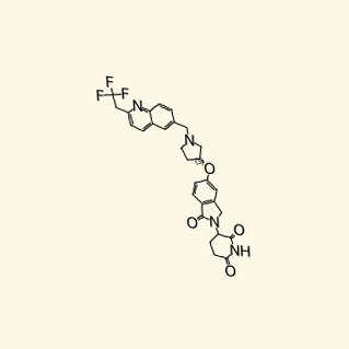 O=C1CCC(N2Cc3cc(O[C@H]4CCN(Cc5ccc6nc(CC(F)(F)F)ccc6c5)C4)ccc3C2=O)C(=O)N1